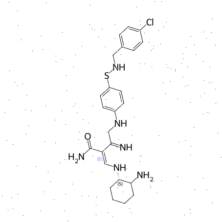 N=C(CNc1ccc(SNCc2ccc(Cl)cc2)cc1)/C(=C\N[C@H]1CCCCC1N)C(N)=O